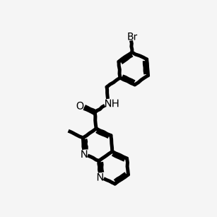 Cc1nc2ncccc2cc1C(=O)NCc1cccc(Br)c1